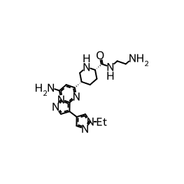 CCn1cc(-c2cnn3c(N)cc([C@H]4CC[C@@H](C(=O)NCCN)NC4)nc23)cn1